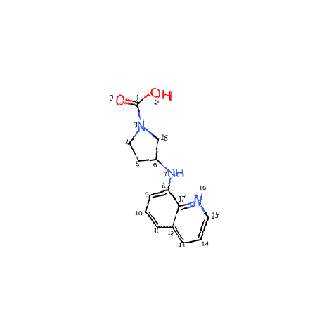 O=C(O)N1CCC(Nc2cccc3cccnc23)C1